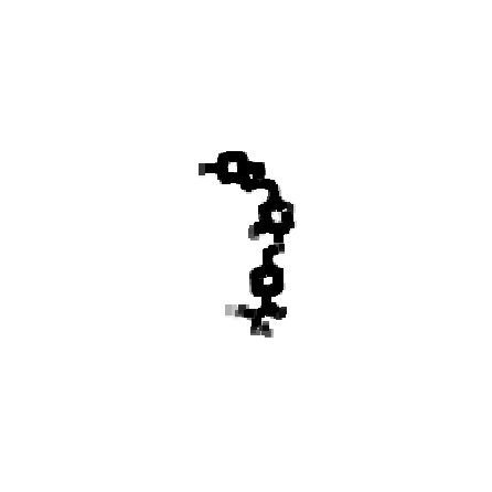 CN(C)C(=O)c1ccc(COc2coc(Cn3cc4ccc(F)cc4c3)cc2=O)cc1